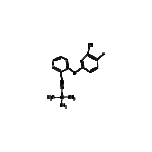 C[Si](C)(C)C#Cc1ccccc1Oc1ccc(F)c(C#N)c1